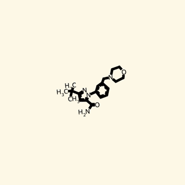 CC(C)(C)c1cc(C(N)=O)n(-c2cccc(CN3CCOCC3)c2)n1